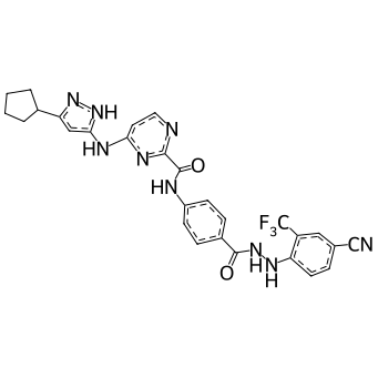 N#Cc1ccc(NNC(=O)c2ccc(NC(=O)c3nccc(Nc4cc(C5CCCC5)n[nH]4)n3)cc2)c(C(F)(F)F)c1